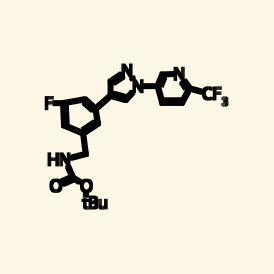 CC(C)(C)OC(=O)NCc1cc(F)cc(-c2cnn(-c3ccc(C(F)(F)F)nc3)c2)c1